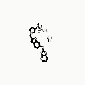 CS(=O)(=O)NC1CCN(Cc2cc3ccc(Oc4nc5ncccc5s4)cc3o2)C1.O=CO